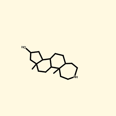 CC12CCC3C(CCC4CCNCCC43C)C1CC(O)C2